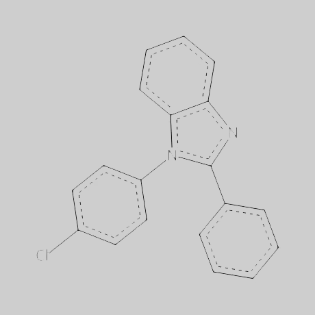 Clc1ccc(-n2c(-c3ccccc3)nc3ccccc32)cc1